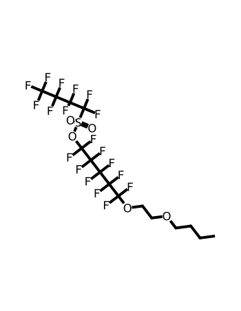 CCCCOCCOC(F)(F)C(F)(F)C(F)(F)C(F)(F)C(F)(F)OS(=O)(=O)C(F)(F)C(F)(F)C(F)(F)C(F)(F)F